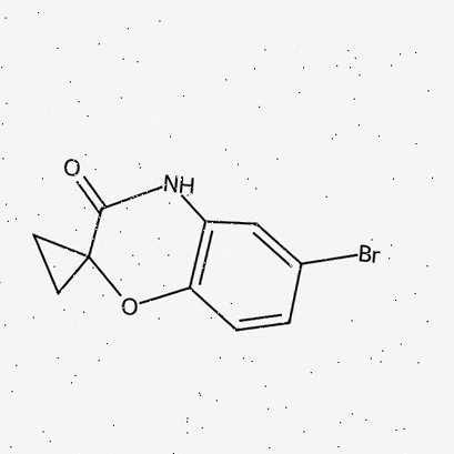 O=C1Nc2cc(Br)ccc2OC12CC2